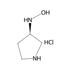 Cl.ON[C@@H]1CCNC1